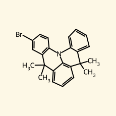 CC1(C)c2ccccc2N2c3ccc(Br)cc3C(C)(C)c3cccc1c32